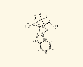 CC(C)(C)[C@](CO)(Cc1csc2ccccc12)NC(=O)O